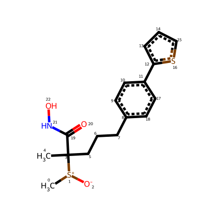 C[S+]([O-])C(C)(CCCc1ccc(-c2cccs2)cc1)C(=O)NO